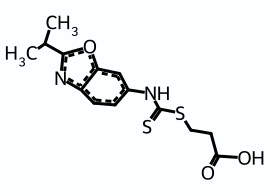 CC(C)c1nc2ccc(NC(=S)SCCC(=O)O)cc2o1